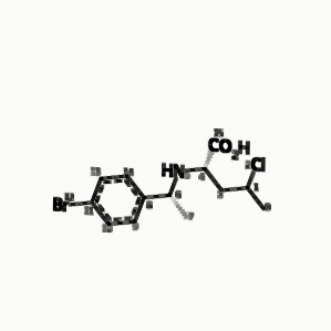 CC(Cl)C[C@H](N[C@H](C)c1ccc(Br)cc1)C(=O)O